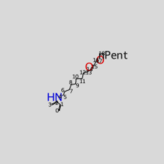 C=CC(=C)NCCCCCCCCCOCCOCCCCC